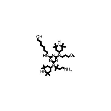 COCCCN(c1nc(NCCCCCCO)nc(N(C2CC(C)(C)NC(C)(C)C2)C(C)(C)CCN)n1)C1CC(C)(C)NC(C)(C)C1